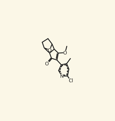 COC1=C(c2cnc(Cl)cc2C)C(=O)C2C3CCC(O3)C12